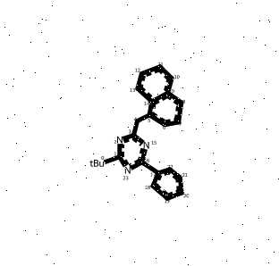 CC(C)(C)c1nc(Cc2cccc3ccccc23)nc(-c2ccccc2)n1